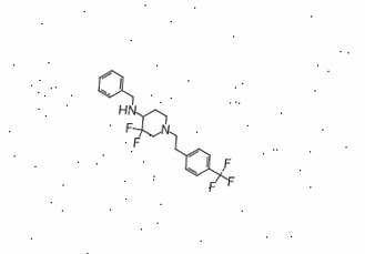 FC(F)(F)c1ccc(CCN2CCC(NCc3ccccc3)C(F)(F)C2)cc1